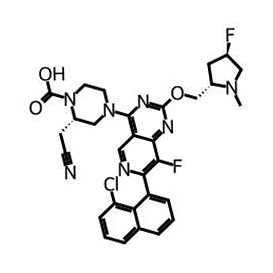 CN1C[C@H](F)C[C@H]1COc1nc(N2CCN(C(=O)O)[C@@H](CC#N)C2)c2cnc(-c3cccc4cccc(Cl)c34)c(F)c2n1